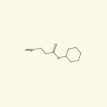 [CH2]CCCCCCCCC(=O)OC1CCCCC1